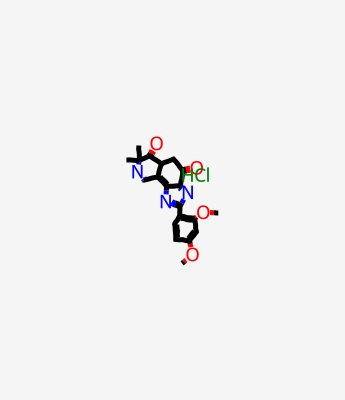 COc1ccc(C2=NC3=C4C=NC(C)(C)C(=O)C4CC(=O)C3=N2)c(OC)c1.Cl